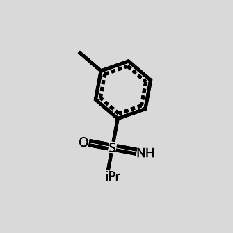 Cc1cccc(S(=N)(=O)C(C)C)c1